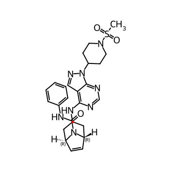 CS(=O)(=O)N1CCC(n2ncc3c(NC4C[C@@H]5C=C[C@@H](C4)N5C(=O)Nc4ccccc4)ncnc32)CC1